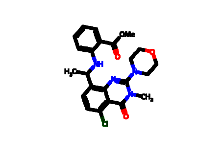 COC(=O)c1ccccc1NC(C)c1ccc(Cl)c2c(=O)n(C)c(N3CCOCC3)nc12